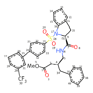 COC(=O)CC(CNC(=O)[C@@H]1Cc2ccccc2N1S(=O)(=O)c1ccc(-c2cccc(C(F)(F)F)c2)cc1)Cc1ccccc1